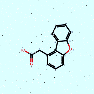 O=C(O)Cc1cccc2oc3ccccc3c12